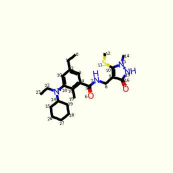 CCc1cc(C(=O)NCc2c(SC)n(C)[nH]c2=O)c(C)c(N(CC)C2CCCCC2)c1